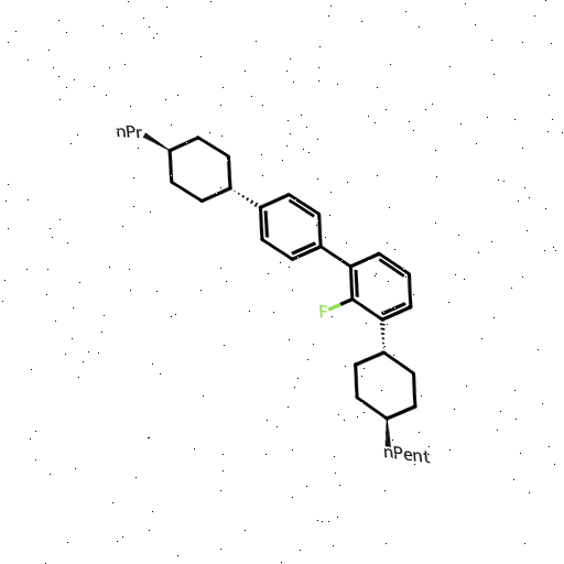 CCCCC[C@H]1CC[C@H](c2cccc(-c3ccc([C@H]4CC[C@H](CCC)CC4)cc3)c2F)CC1